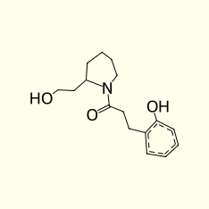 O=C(CCc1ccccc1O)N1CCCCC1CCO